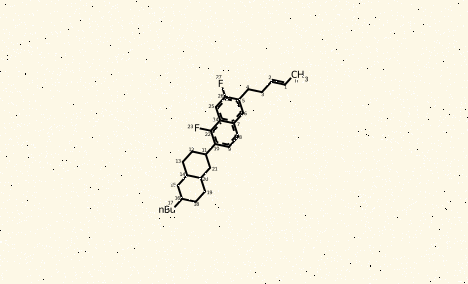 C/C=C/CCc1cc2ccc(C3CCC4CC(CCCC)CCC4C3)c(F)c2cc1F